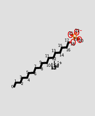 CCCCCCCCCCCCCCCCCCOP(=O)([O-])[O-].[Li+].[Li+]